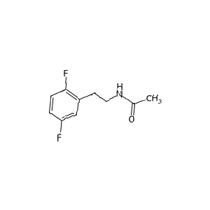 CC(=O)NCCc1cc(F)ccc1F